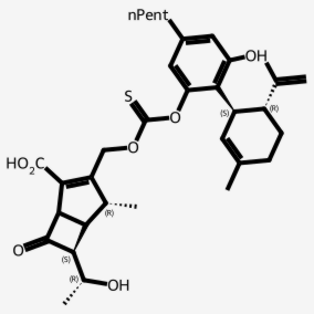 C=C(C)[C@@H]1CCC(C)=C[C@H]1c1c(O)cc(CCCCC)cc1OC(=S)OCC1=C(C(=O)O)C2C(=O)[C@H]([C@@H](C)O)C2[C@H]1C